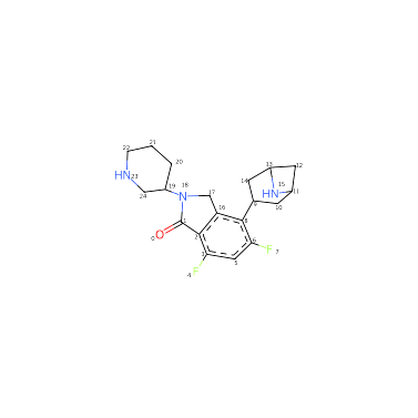 O=C1c2c(F)cc(F)c(C3CC4CC(C3)N4)c2CN1C1CCCNC1